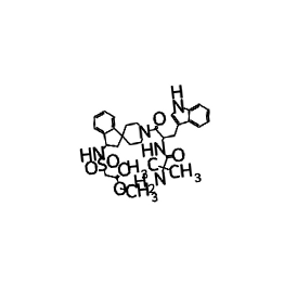 COC(=O)CS(=O)(=O)N[C@@H]1CC2(CCN(C(=O)C(Cc3c[nH]c4ccccc34)NC(=O)C(C)(C)N)CC2)c2ccccc21